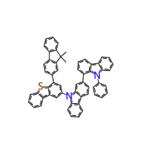 CC1(C)c2ccccc2-c2ccc(-c3cc(-n4c5ccccc5c5ccc(-c6cccc7c8ccccc8n(-c8ccccc8)c67)cc54)cc4c3sc3ccccc34)cc21